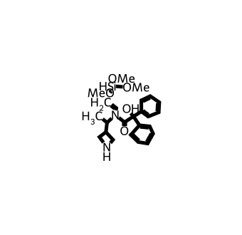 C=CN(C(=O)C(O)(c1ccccc1)c1ccccc1)C(C)C1CNC1.CO[SiH](OC)OC